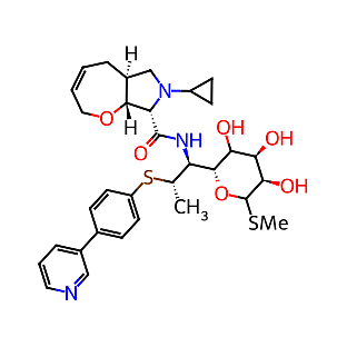 CSC1O[C@H]([C@H](NC(=O)[C@@H]2[C@@H]3OCC=CC[C@H]3CN2C2CC2)[C@H](C)Sc2ccc(-c3cccnc3)cc2)C(O)[C@@H](O)[C@H]1O